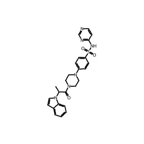 CC(C(=O)N1CCN(c2ccc(S(=O)(=O)Nc3ccncn3)cc2)CC1)n1ccc2ccccc21